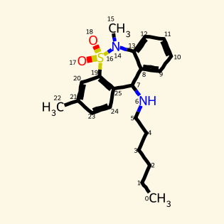 CCCCCCNC1c2ccccc2N(C)S(=O)(=O)c2cc(C)ccc21